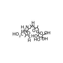 CC(C[C@H](N)C(=O)N[C@@H](C(=O)O)C(C)CS)NC(=O)C(C)CO[C@H]1OC(CO)C(O)C(O)C1O